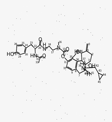 C=C1CC[C@@]2(O)[C@H]3Cc4ccc(OC(=O)N(C)CCNC(=O)[C@H](Cc5ccc(O)cc5)NC(C)=O)c5c4[C@@]2(CC[N+]3(C)CC2CC2)[C@H]1O5